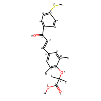 COC(=O)C(C)(C)Oc1c(C)cc(/C=C/C(=O)c2ccc(SC)cc2)cc1C